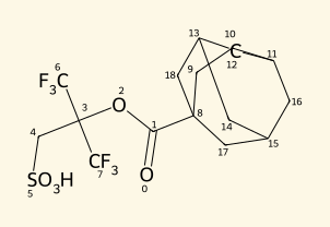 O=C(OC(CS(=O)(=O)O)(C(F)(F)F)C(F)(F)F)C12CCC3CC(CC(C3)C1)C2